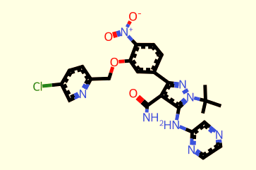 CC(C)(C)n1nc(-c2ccc([N+](=O)[O-])c(OCc3ccc(Cl)cn3)c2)c(C(N)=O)c1Nc1cnccn1